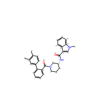 Cc1ccc(-c2ccccc2C(=O)N2CCC[C@@H](NC(=O)c3cn(C)c4ccccc34)C2)cc1C